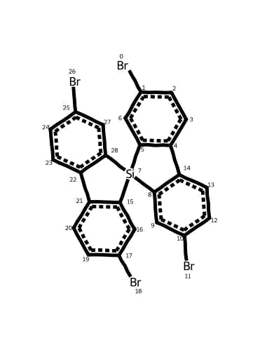 Brc1ccc2c(c1)[Si]1(c3cc(Br)ccc3-2)c2cc(Br)ccc2-c2ccc(Br)cc21